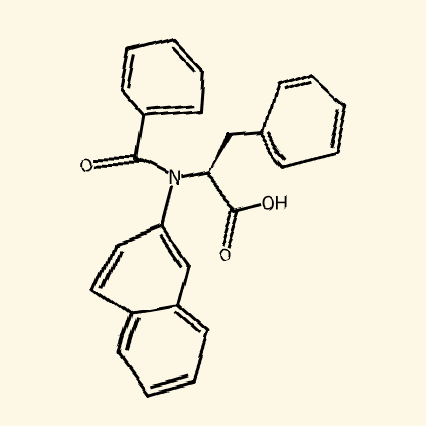 O=C(O)[C@H](Cc1ccccc1)N(C(=O)c1ccccc1)c1ccc2ccccc2c1